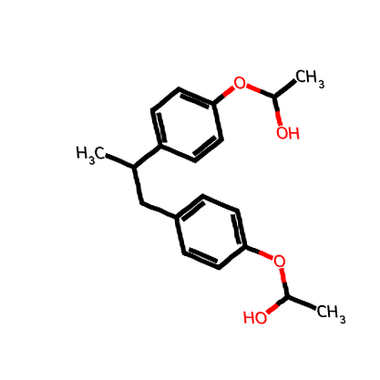 CC(O)Oc1ccc(CC(C)c2ccc(OC(C)O)cc2)cc1